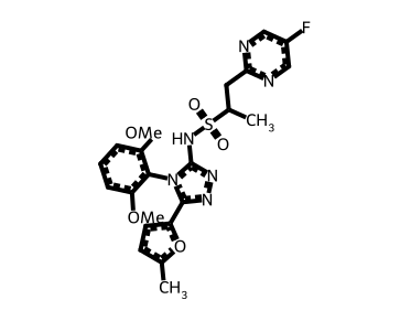 COc1cccc(OC)c1-n1c(NS(=O)(=O)C(C)Cc2ncc(F)cn2)nnc1-c1ccc(C)o1